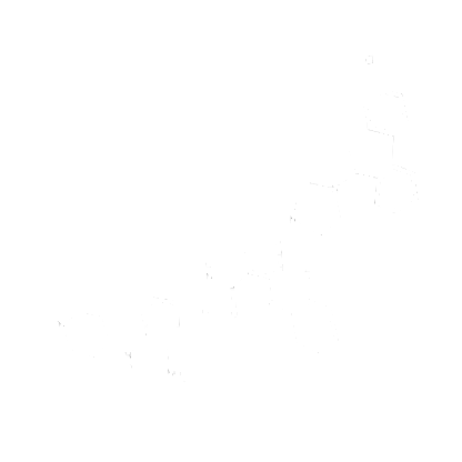 CC(c1ccccc1-c1ccc(Cl)cc1)N1CCN(c2ccc(C(=O)NS(=O)(=O)c3ccc(NC4CCN(C)CC4)c([N+](=O)[O-])c3)c(Oc3ccccc3Cl)c2)CC1